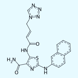 NC(=O)c1nc(Nc2ccc3ccccc3c2)sc1NC(=O)C=CCn1cnnn1